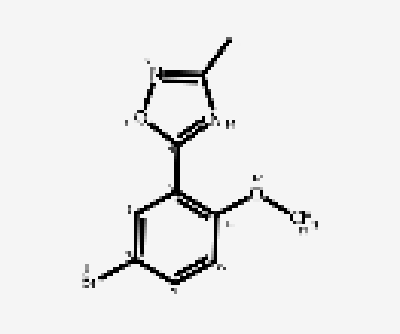 Cc1noc(-c2cc(Br)ccc2OC(F)(F)F)n1